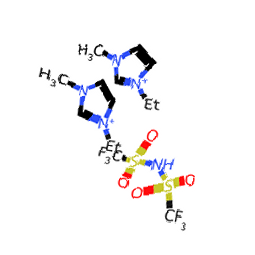 CC[n+]1ccn(C)c1.CC[n+]1ccn(C)c1.O=S(=O)(NS(=O)(=O)C(F)(F)F)C(F)(F)F